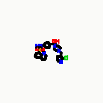 O=S(=O)(Nc1ccc(C(O)N2CCN(Cc3cccnc3Cl)CC2)cc1)c1cccc2cccnc12